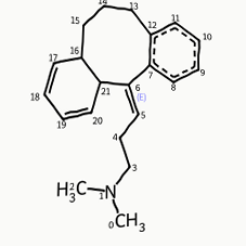 CN(C)CC/C=C1/c2ccccc2CCCC2C=CC=CC12